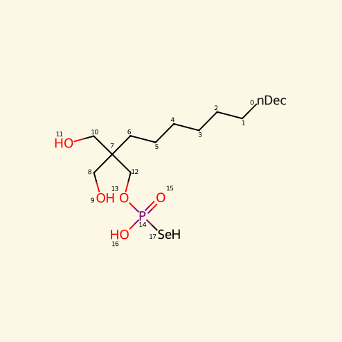 CCCCCCCCCCCCCCCCC(CO)(CO)COP(=O)(O)[SeH]